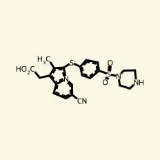 Cc1c(CC(=O)O)c2ccc(C#N)cn2c1Sc1ccc(S(=O)(=O)N2CCNCC2)cc1